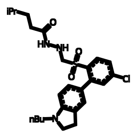 CCCCN1CCc2cc(-c3cc(Cl)ccc3S(=O)(=O)CNNC(=O)CCC(C)C)ccc21